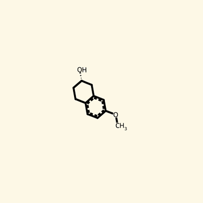 COc1ccc2c(c1)C[C@@H](O)CC2